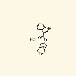 Cl.O=C(OC1CC2COCC(C1)N2)c1c[nH]c2ccccc12